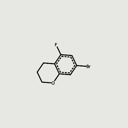 Fc1cc(Br)cc2c1CCCO2